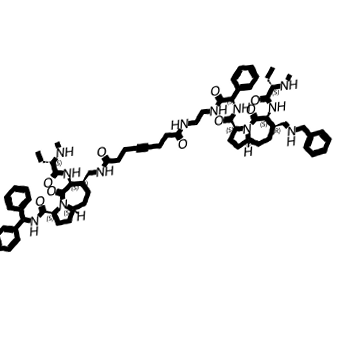 CC[C@H](NC)C(=O)N[C@@H]1C(=O)N2[C@@H](CC[C@@H]1CNC(=O)CCC#CCCC(=O)NCCNC(=O)[C@@H](NC(=O)[C@@H]1CC[C@@H]3CC[C@H](CNCc4ccccc4)[C@H](NC(=O)[C@H](CC)NC)C(=O)N31)c1ccccc1)CC[C@H]2C(=O)NC(c1ccccc1)c1ccccc1